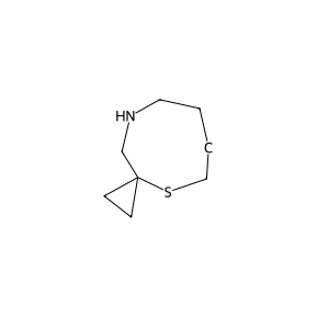 C1CCSC2(CC2)CNC1